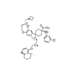 C[C@@H](COc1ccnc2c1[C@H](C)CCC2)C[C@H]1Cc2cc3c(cc2C12CCC(Nc1cccc(Cl)c1)(C(=O)O)CC2)O[C@@H](CN1CCC1)CCO3